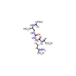 CCCCCCC(=O)NC(CNC(=O)N[C@@H](CCCC(N)C(=O)O)C(=O)N[C@H](C)C(=O)O)C(=O)O